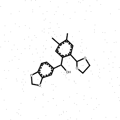 Cc1cc(C2OCCO2)c(C(O)c2ccc3c(c2)OCO3)cc1C